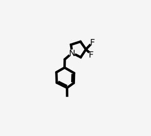 CC1=CCC(CN2CCC(F)(F)C2)C=C1